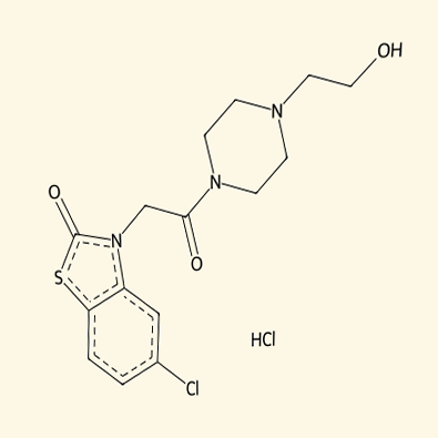 Cl.O=C(Cn1c(=O)sc2ccc(Cl)cc21)N1CCN(CCO)CC1